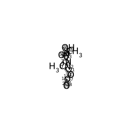 Cc1cc2c(nc1N1CCC(Oc3ccc4c(c3)COC4)CC1)CN([C@H](C)CO)C2=O